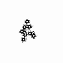 c1ccc(-c2cc(-c3ccc4oc5ccccc5c4c3)nc(-c3cccc4c3oc3c4ccc4c3c3ccccc3n4-c3ccccc3)c2)cc1